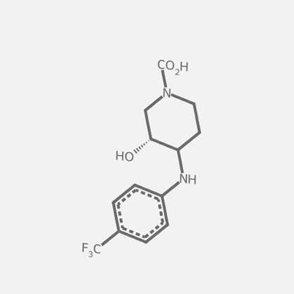 O=C(O)N1CCC(Nc2ccc(C(F)(F)F)cc2)[C@H](O)C1